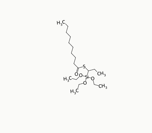 CCCCCCCCCC(=O)SC(CC)[Si](OCC)(OCC)OCC